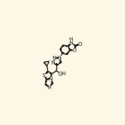 O=c1[nH]c2ccc(-n3cc(C(O)c4c(C5CC5)sc5cncn45)nn3)cc2o1